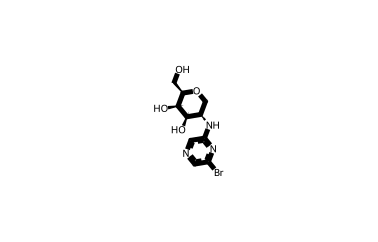 OC[C@H]1OC[C@H](Nc2cncc(Br)n2)[C@@H](O)[C@H]1O